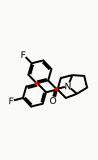 O=C(c1ccc(F)cc1)N1C2CCC1CC(c1ccc(F)cc1)C2